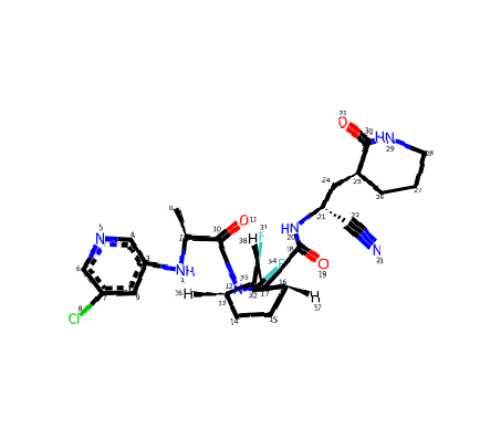 C[C@H](Nc1cncc(Cl)c1)C(=O)N1[C@H]2CC[C@@H]([C@H]1C(=O)N[C@@H](C#N)C[C@@H]1CCCNC1=O)C(F)(F)C2